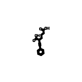 O=C(O)CCCC(C#Cc1ccccc1)C(=O)O